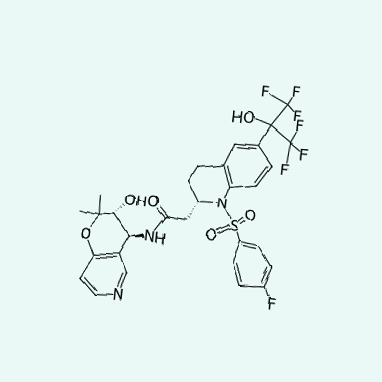 CC1(C)Oc2ccncc2[C@H](NC(=O)C[C@@H]2CCc3cc(C(O)(C(F)(F)F)C(F)(F)F)ccc3N2S(=O)(=O)c2ccc(F)cc2)[C@H]1O